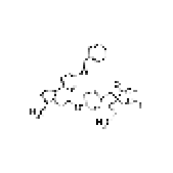 CCOC(CC)(Cc1ccc(OCCn2c(C)ccc2-c2ccc(OCc3ccccc3)cc2)cc1)C(=O)O